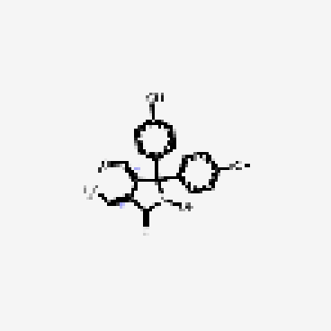 C/C=C1/C(=O)N(O)C(c2ccc(O)cc2)(c2ccc(O)cc2)/C1=C/C